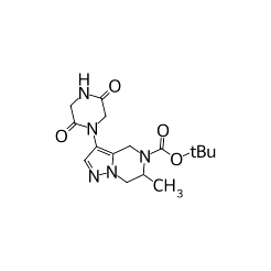 CC1Cn2ncc(N3CC(=O)NCC3=O)c2CN1C(=O)OC(C)(C)C